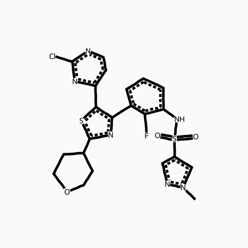 Cn1cc(S(=O)(=O)Nc2cccc(-c3nc(C4CCOCC4)sc3-c3ccnc(Cl)n3)c2F)cn1